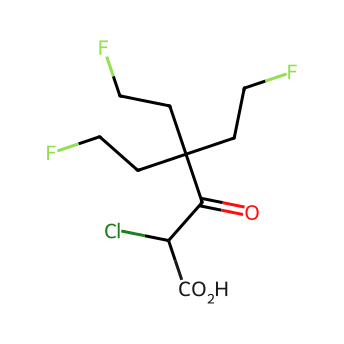 O=C(O)C(Cl)C(=O)C(CCF)(CCF)CCF